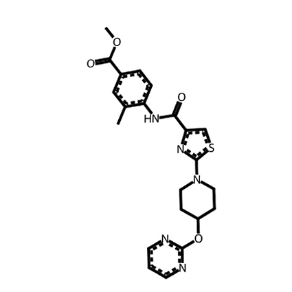 COC(=O)c1ccc(NC(=O)c2csc(N3CCC(Oc4ncccn4)CC3)n2)c(C)c1